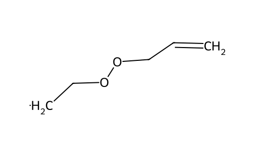 [CH2]COOCC=C